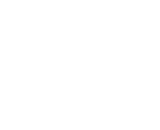 C#CC(O)C#CCSCC